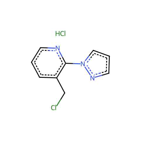 Cl.ClCc1cccnc1-n1cccn1